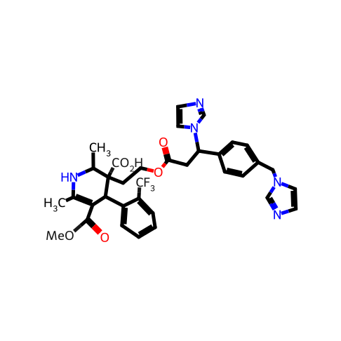 COC(=O)C1=C(C)NC(C)C(CCOC(=O)CC(c2ccc(Cn3ccnc3)cc2)n2ccnc2)(C(=O)O)C1c1ccccc1C(F)(F)F